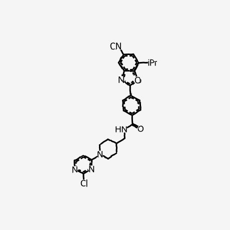 [C-]#[N+]c1cc(C(C)C)c2oc(-c3ccc(C(=O)NCC4CCN(c5ccnc(Cl)n5)CC4)cc3)nc2c1